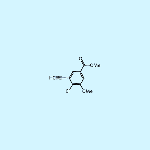 C#Cc1cc(C(=O)OC)cc(OC)c1Cl